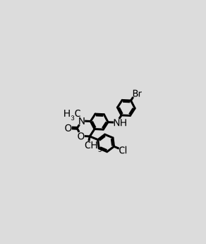 CN1C(=O)OC(C)(c2ccc(Cl)cc2)c2cc(Nc3ccc(Br)cc3)ccc21